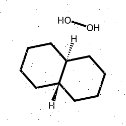 C1CC[C@H]2CCCC[C@@H]2C1.OO